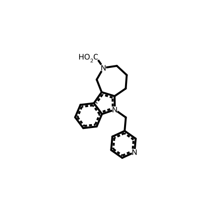 O=C(O)N1CCCc2c(c3ccccc3n2Cc2cccnc2)C1